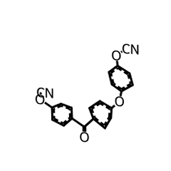 N#COc1ccc(Oc2ccc(C(=O)c3ccc(OC#N)cc3)cc2)cc1